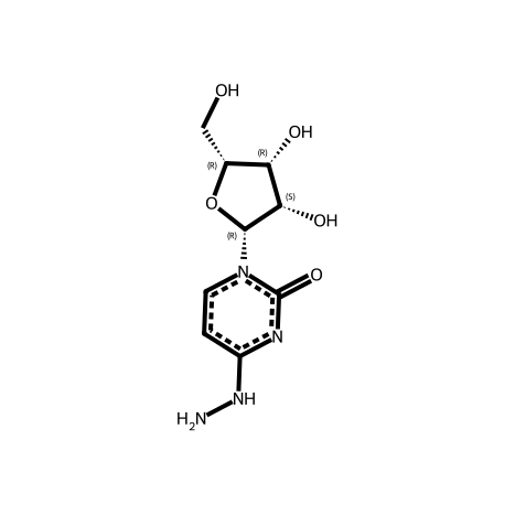 NNc1ccn([C@@H]2O[C@H](CO)[C@H](O)[C@@H]2O)c(=O)n1